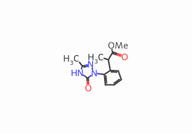 COC(=O)C(C)c1ccccc1-n1nc(C)[nH]c1=O